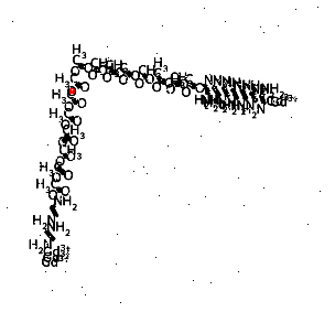 CC(=O)[O-].CC(=O)[O-].CC(=O)[O-].CC(=O)[O-].CC(=O)[O-].CC(=O)[O-].CC(=O)[O-].CC(=O)[O-].CC(=O)[O-].CC(=O)[O-].CC(=O)[O-].CC(=O)[O-].CC(=O)[O-].CC(=O)[O-].CC(=O)[O-].NCCN.NCCN.NCCN.NCCN.NCCN.NCCN.NCCN.NCCN.NCCN.[Gd+3].[Gd+3].[Gd+3].[Gd+3].[Gd+3]